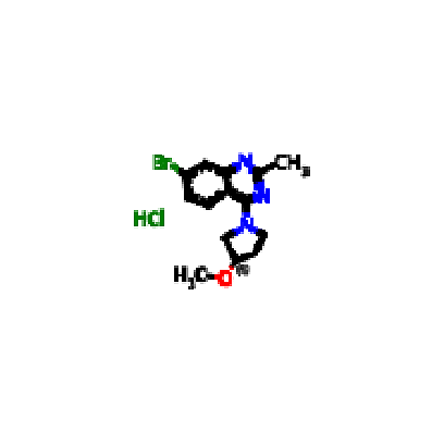 CO[C@H]1CCN(c2nc(C)nc3cc(Br)ccc23)C1.Cl